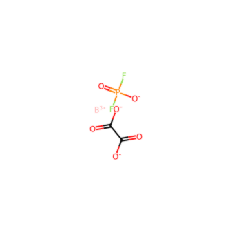 O=C([O-])C(=O)[O-].O=P([O-])(F)F.[B+3]